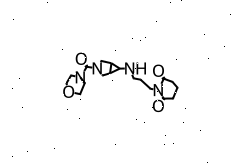 O=C(N1CCOCC1)N1CC2C(C1)C2NCCCN1C(=O)CCCC1=O